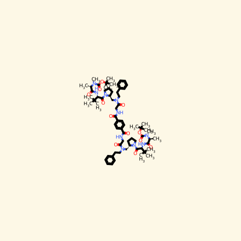 C[C@@H](C(=O)N[C@H](C(=O)N1CCC[C@H]1CN(CCc1ccccc1)C(=O)CNC(=O)c1ccc(C(=O)NCC(=O)N(CCc2ccccc2)C[C@@H]2CCCN2C(=O)[C@@H](NC(=O)[C@H](C)N(C)C(=O)OC(C)(C)C)C(C)(C)C)cc1)C(C)(C)C)N(C)C(=O)OC(C)(C)C